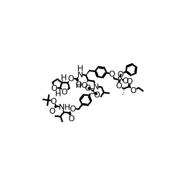 CCOC(=O)[C@H](C)OP(=O)(COc1ccc(C[C@H](NC(=O)O[C@H]2CO[C@H]3OCC[C@H]32)[C@H](O)CN(CC(C)C)S(=O)(=O)c2ccc(COC(=O)[C@H](NC(=O)OC(C)(C)C)C(C)C)cc2)cc1)Oc1ccccc1